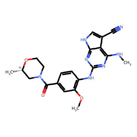 CNc1nc(Nc2ccc(C(=O)N3CCO[C@@H](C)C3)cc2OC)nc2[nH]cc(C#N)c12